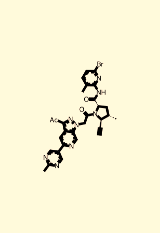 C#C[C@@H]1[C@@H](C)C[C@@H](C(=O)Nc2nc(Br)ccc2C)N1C(=O)Cn1nc(C(C)=O)c2cc(-c3cnc(C)nc3)ncc21